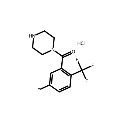 Cl.O=C(c1cc(F)ccc1C(F)(F)F)N1CCNCC1